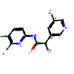 CC(C)C(C(=O)Nc1ccc(Br)c(F)n1)c1cncc(Br)c1